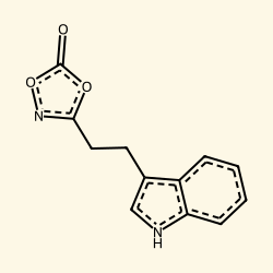 O=c1onc(CCc2c[nH]c3ccccc23)o1